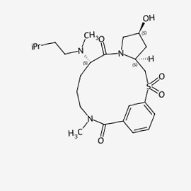 CC(C)CCN(C)[C@H]1CCCN(C)C(=O)c2cccc(c2)S(=O)(=O)C[C@@H]2C[C@H](O)CN2C1=O